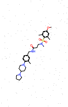 COc1cc(C)c(S(=O)(=O)N(C)CCC(=O)NCc2ccc(N3CCC(N4CCCC4)CC3)c(C)c2)c(C)c1